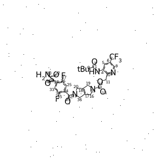 CC(C)(C)C(=O)Nc1cc(C(F)(F)F)cnc1COC(=O)N1CC2=C(C1)CN(C(=O)c1cc(F)c(S(N)(=O)=O)cc1F)C2